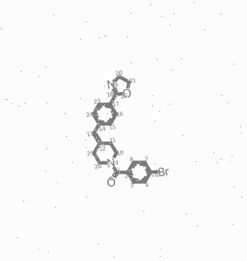 O=C(c1ccc(Br)cc1)N1CCC(=Cc2ccc(C3=NCCO3)cc2)CC1